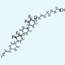 C/C=C/C1CC=C(c2ccc(-c3ccc(-c4ccc(OCCCCCCCCC)c(F)c4F)cc3)c(F)c2F)CC1